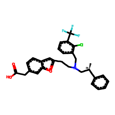 C[C@@H](CN(CCc1cc2ccc(CC(=O)O)cc2o1)Cc1cccc(C(F)(F)F)c1Cl)c1ccccc1